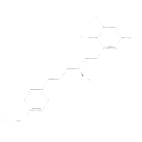 COc1ccc(COC[C@H](O)CCc2nc(Cl)cc(Br)c2O)cc1